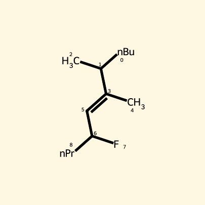 CCCCC(C)/C(C)=C/C(F)CCC